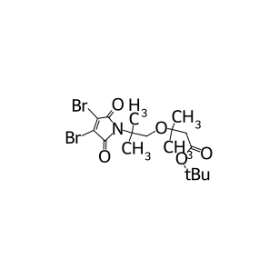 CC(C)(C)OC(=O)CC(C)(C)OCC(C)(C)N1C(=O)C(Br)=C(Br)C1=O